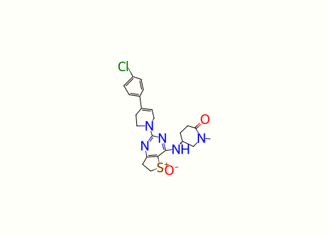 CN1C[C@@H](Nc2nc(N3CC=C(c4ccc(Cl)cc4)CC3)nc3c2[S+]([O-])CC3)CCC1=O